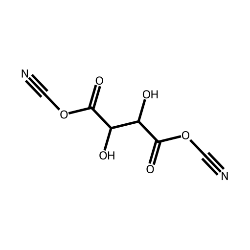 N#COC(=O)C(O)C(O)C(=O)OC#N